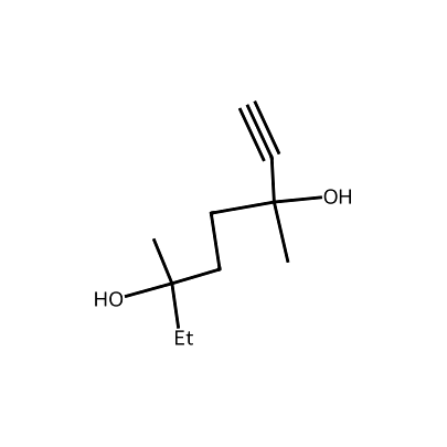 C#CC(C)(O)CCC(C)(O)CC